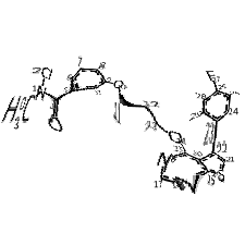 CN(Cl)C(=O)c1cccc(OCCCOc2ncnc3scc(-c4ccc(F)cc4)c23)c1